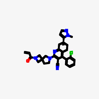 C=CC(=O)N1CC2(CCN(c3nc4c(c(-c5ccccc5Cl)c3C#N)CC[C@H](c3ccnn3C)C4)C2)C1